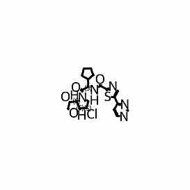 O=C(N[C@H](C(=O)N1C[C@H](Cl)[C@H]2OCC(=O)[C@H]21)C1CCCC1)c1ncc(-c2ccncn2)s1